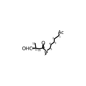 CC(=O)CCCCCN(C)C(=O)CC(C)C=O